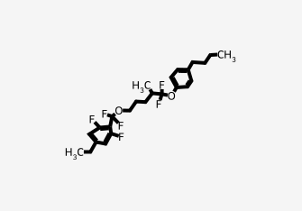 CCCCc1ccc(OC(F)(F)C(C)CCCOC(F)(F)c2c(F)cc(CC)cc2F)cc1